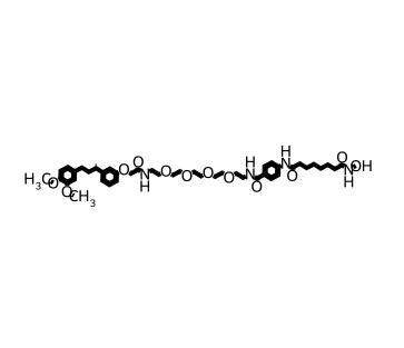 COc1ccc(CC[CH]c2cccc(OCC(=O)NCCOCCOCCOCCOCCNC(=O)c3ccc(NC(=O)CCCCCCC(=O)NO)cc3)c2)cc1OC